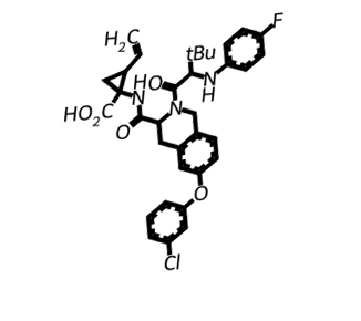 C=CC1CC1(NC(=O)C1Cc2cc(Oc3cccc(Cl)c3)ccc2CN1C(=O)C(Nc1ccc(F)cc1)C(C)(C)C)C(=O)O